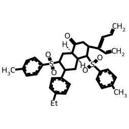 C=C/C=C(\C=C)C1CC(=O)[C@@H]2CC(S(=O)(=O)c3ccc(C)cc3)C(c3ccc(CC)cc3)C[C@@H]2C1S(=O)(=O)c1ccc(C)cc1